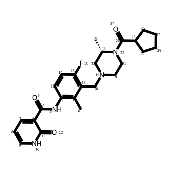 Cc1c(NC(=O)c2ccc[nH]c2=O)ccc(F)c1CN1CCN(C(=O)C2CCCC2)[C@@H](C)C1